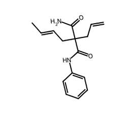 C=CCC(CC=CC)(C(N)=O)C(=O)Nc1ccccc1